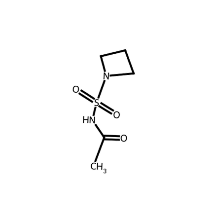 CC(=O)NS(=O)(=O)N1CCC1